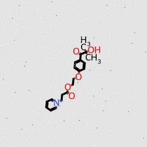 CC(C)(O)C(=O)c1ccc(OCCOC(=O)CC[n+]2ccccc2)cc1